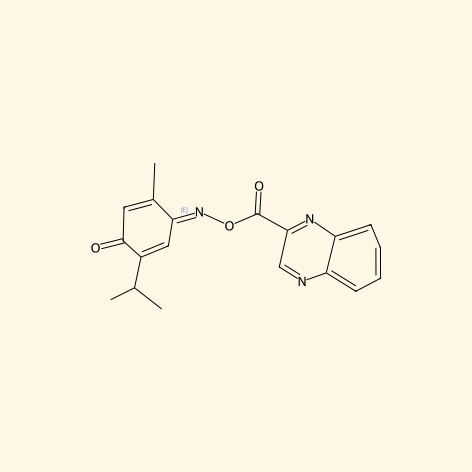 CC1=CC(=O)C(C(C)C)=C/C1=N\OC(=O)c1cnc2ccccc2n1